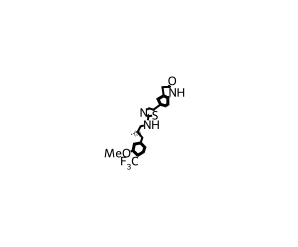 COc1cc(C[C@H](C)CNC2=NCC(c3ccc4c(c3)CC(=O)N4)S2)ccc1C(F)(F)F